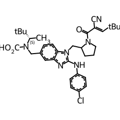 C[C@H](N(Cc1ccc2c(c1)nc(Nc1ccc(Cl)cc1)n2CC1CCCN1C(=O)C(C#N)=CC(C)(C)C)C(=O)O)C(C)(C)C